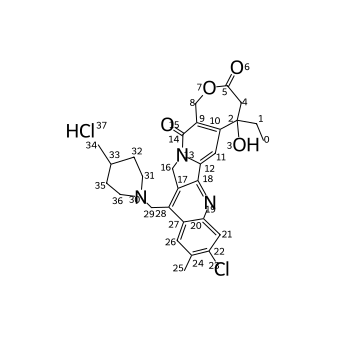 CCC1(O)CC(=O)OCc2c1cc1n(c2=O)Cc2c-1nc1cc(Cl)c(C)cc1c2CN1CCC(C)CC1.Cl